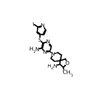 CC1OCC2(CCN(c3cnc(Sc4ccnc(I)c4)c(N)n3)CC2)C1N